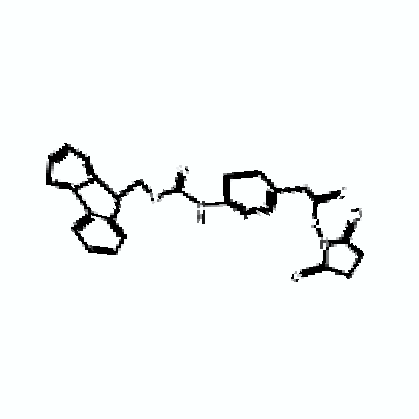 O=C(Cc1ccc(NC(=O)OCC2c3ccccc3-c3ccccc32)cc1)ON1C(=O)CCC1=O